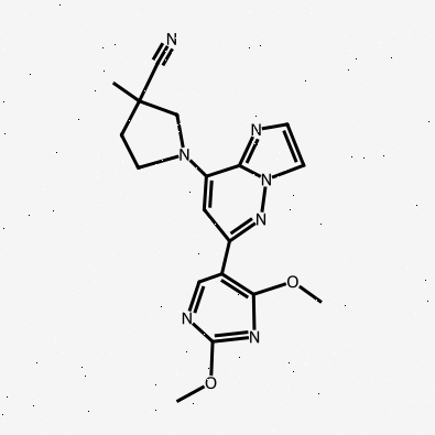 COc1ncc(-c2cc(N3CCC(C)(C#N)C3)c3nccn3n2)c(OC)n1